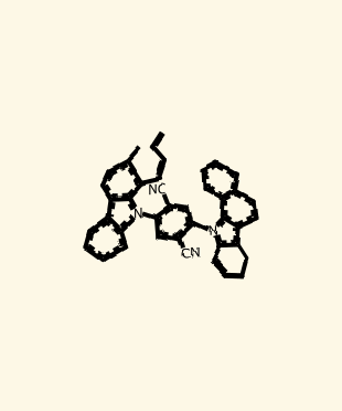 C=C/C=C\c1c(C)ccc2c3ccccc3n(-c3cc(C#N)c(-n4c5c(c6ccc7ccccc7c64)CCC=C5)cc3C#N)c12